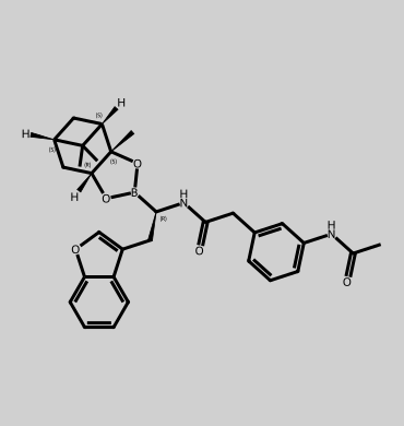 CC(=O)Nc1cccc(CC(=O)N[C@@H](Cc2coc3ccccc23)B2O[C@@H]3C[C@@H]4C[C@@H](C4(C)C)[C@]3(C)O2)c1